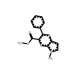 COC(=O)c1nc2c(ccn2C)nc1-c1ccccc1